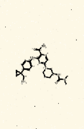 CN(C)C(=O)NC1CCCN(c2cnc(C(N)=O)c(Nc3ccc(C4(CN)CC4)cc3)n2)C1